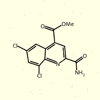 COC(=O)c1cc(C(N)=O)nc2c(Cl)cc(Cl)cc12